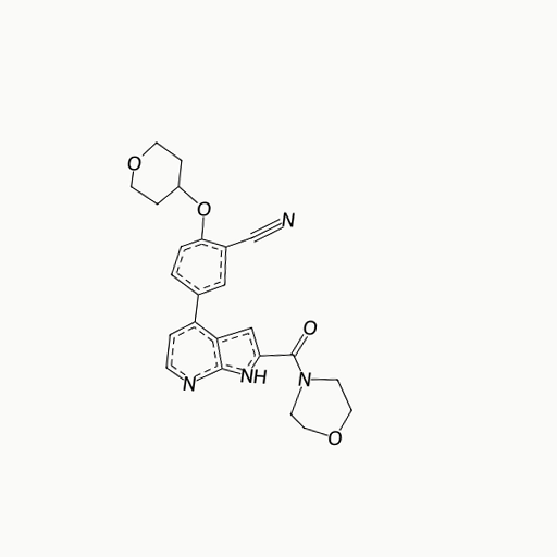 N#Cc1cc(-c2ccnc3[nH]c(C(=O)N4CCOCC4)cc23)ccc1OC1CCOCC1